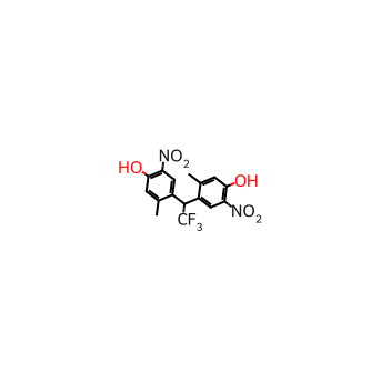 Cc1cc(O)c([N+](=O)[O-])cc1C(c1cc([N+](=O)[O-])c(O)cc1C)C(F)(F)F